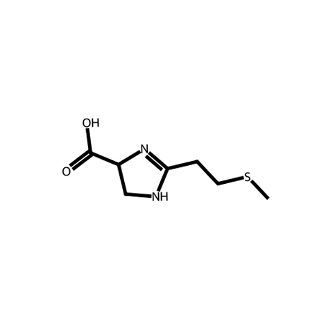 CSCCC1=NC(C(=O)O)CN1